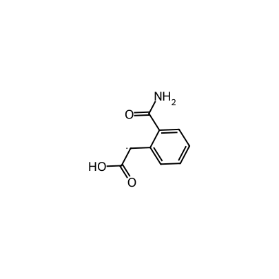 NC(=O)c1ccccc1[CH]C(=O)O